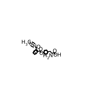 CN1CCN(C(=O)c2c(C(=O)Oc3ccc(CC(N)C(=O)O)cc3)c3ccc2o3)CC1